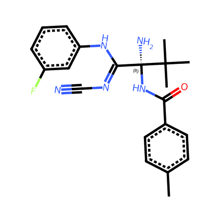 Cc1ccc(C(=O)N[C@@](N)(C(=NC#N)Nc2cccc(F)c2)C(C)(C)C)cc1